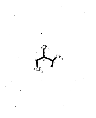 CC(C(CC(F)(F)F)C(F)(F)F)C(F)(F)F